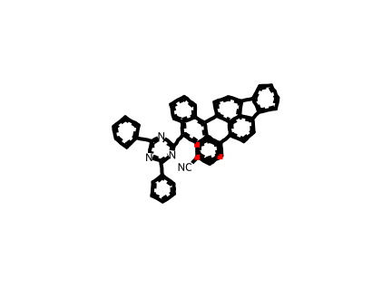 N#Cc1ccc(-c2ccc3c4c(ccc(-c5c6ccccc6c(-c6nc(-c7ccccc7)nc(-c7ccccc7)n6)c6ccccc56)c24)-c2ccccc2-3)cc1